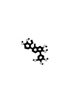 C=Cc1c(-c2ccc3c(-c4cc(OC)c(OC)c(OC)c4)c(OC)c(OC)cc3c2C)ccc(OC)c1OC